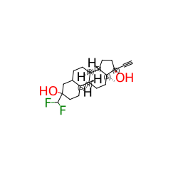 C#C[C@@]1(O)CC[C@H]2[C@@H]3CCC4CC(O)(C(F)F)CC[C@@H]4[C@H]3CC[C@@]21C